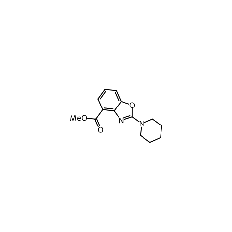 COC(=O)c1cccc2oc(N3CCCCC3)nc12